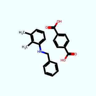 Cc1cccc(NCc2ccccc2)c1C.O=C(O)c1ccc(C(=O)O)cc1